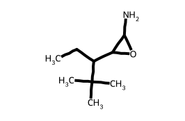 CCC(C1OC1N)C(C)(C)C